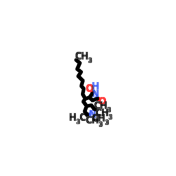 CCCCCCCCCCC(CC1CC(C)(C)N(C)C(C)(C)C1)C1CC(=O)NC1=O